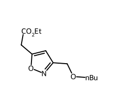 CCCCOCc1cc(CC(=O)OCC)on1